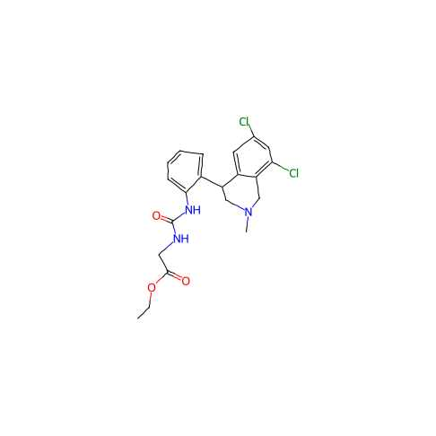 CCOC(=O)CNC(=O)Nc1ccccc1C1CN(C)Cc2c(Cl)cc(Cl)cc21